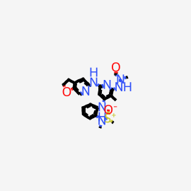 Cc1c(Nc2ccccc2N(C)[S+](C)[O-])cc(Nc2cc3c(cn2)OCC3)nc1NN(C)C=O